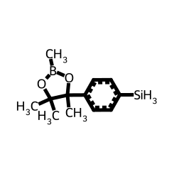 CB1OC(C)(C)C(C)(c2ccc([SiH3])cc2)O1